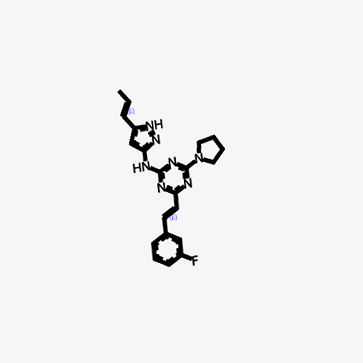 C/C=C/c1cc(Nc2nc(/C=C/c3cccc(F)c3)nc(N3CCCC3)n2)n[nH]1